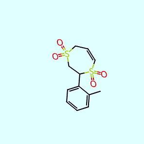 Cc1ccccc1C1CS(=O)(=O)CC=CS1(=O)=O